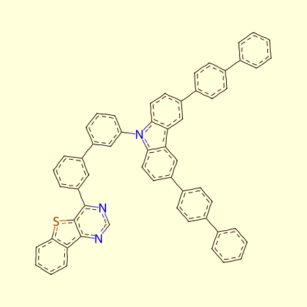 c1ccc(-c2ccc(-c3ccc4c(c3)c3cc(-c5ccc(-c6ccccc6)cc5)ccc3n4-c3cccc(-c4cccc(-c5ncnc6c5sc5ccccc56)c4)c3)cc2)cc1